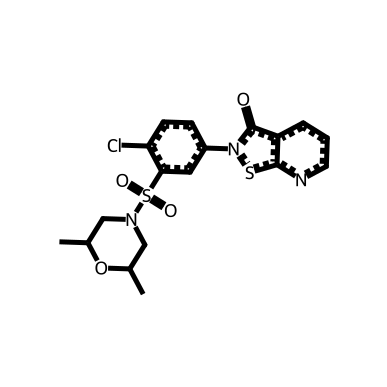 CC1CN(S(=O)(=O)c2cc(-n3sc4ncccc4c3=O)ccc2Cl)CC(C)O1